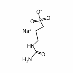 NC(=O)NCCCS(=O)(=O)[O-].[Na+]